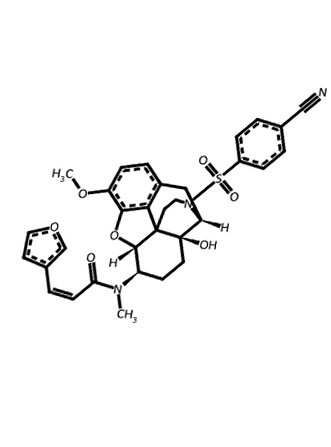 COc1ccc2c3c1O[C@H]1[C@H](N(C)C(=O)/C=C\c4ccoc4)CC[C@@]4(O)[C@@H](C2)N(S(=O)(=O)c2ccc(C#N)cc2)CCC314